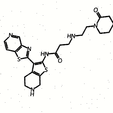 O=C(CCNCCN1CCCCC1=O)Nc1sc2c(c1-c1nc3cnccc3s1)CCNC2